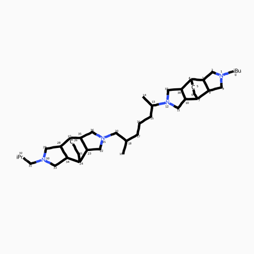 CCC(C)N1CC2C3CCC(C2C1)C1CN(C(C)CCCC(C)CN2CC4C5CCC(C6CN(CC(C)C)CC56)C4C2)CC31